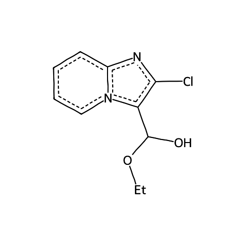 CCOC(O)c1c(Cl)nc2ccccn12